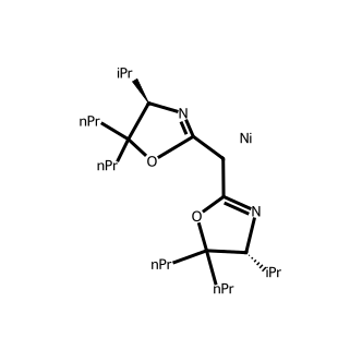 CCCC1(CCC)OC(CC2=N[C@H](C(C)C)C(CCC)(CCC)O2)=N[C@@H]1C(C)C.[Ni]